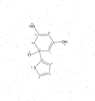 OC1=CC(Cl)(c2cccs2)CC(O)=C1